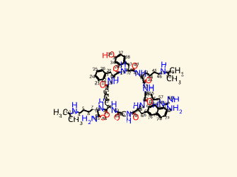 CC(C)NCCCC[C@H](NC(=O)[C@H]1CCCC(=O)N[C@@H](Cc2ccccc2)C(=O)N[C@@H](Cc2ccc(O)cc2)C(=O)N[C@@H](CCCCNC(C)C)C(=O)N[C@H](CCCNC(=N)N)C(=O)N[C@@H](Cc2ccc3ccccc3c2)C(=O)NCC(=O)N1)C(N)=O